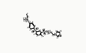 CCNc1ccc(S(=O)(=O)c2ccc(C)c(S(=O)(=O)NCCCn3ccnc3)c2)cc1